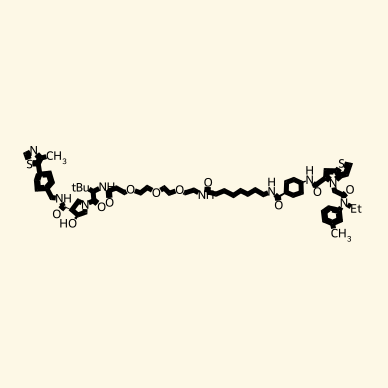 CCN(C(=O)Cn1c(C(=O)N[C@H]2CC[C@H](C(=O)NCCCCCCCC(=O)NCCOCCOCCOCCC(=O)NC(C(=O)N3C[C@@H](O)[C@H](C(=O)NCc4ccc(-c5scnc5C)cc4)C3)C(C)(C)C)CC2)cc2sccc21)c1cccc(C)c1